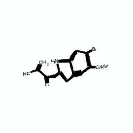 C=C(C#N)C(=O)c1cc2cc(OC)c(Br)cc2[nH]1